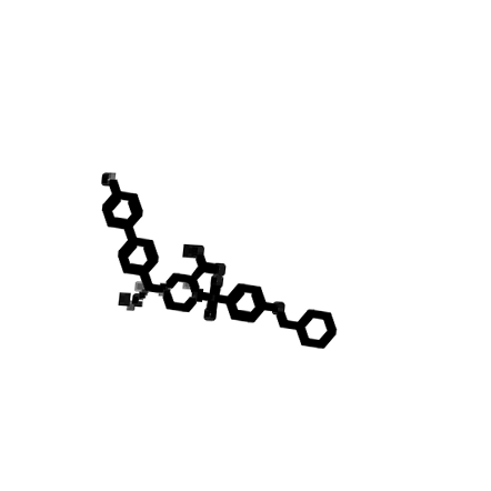 C[C@H](c1ccc(-c2ccc(Cl)cc2)cc1)N1CCN(S(=O)(=O)c2ccc(OCC3CCCCC3)cc2)[C@H](C(=O)O)C1